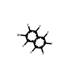 Fc1c(F)c(F)c2c(F)c(Br)c(F)c(F)c2c1F